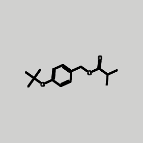 CC(C)C(=O)OCc1ccc(OC(C)(C)C)cc1